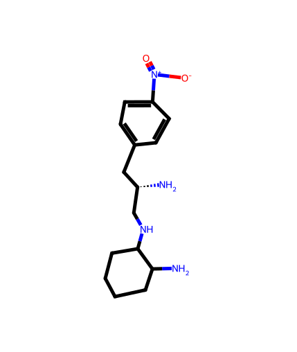 NC1CCCCC1NC[C@@H](N)Cc1ccc([N+](=O)[O-])cc1